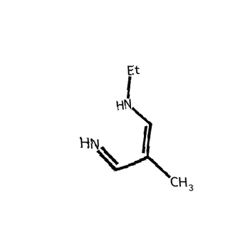 CCN/C=C(/C)C=N